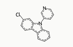 Clc1ccc2c3ccccc3n(-c3cccnc3)c2c1